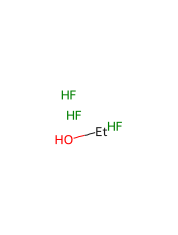 CCO.F.F.F